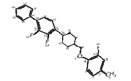 Cc1ccc(OCC2CCC(c3ccc(-c4ccccc4)c(F)c3F)CC2)c(F)c1